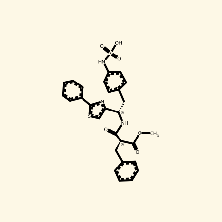 COC(=O)[C@@H](Cc1ccccc1)C(=O)N[C@@H](Cc1ccc(NS(=O)(=O)O)cc1)c1csc(-c2ccccc2)n1